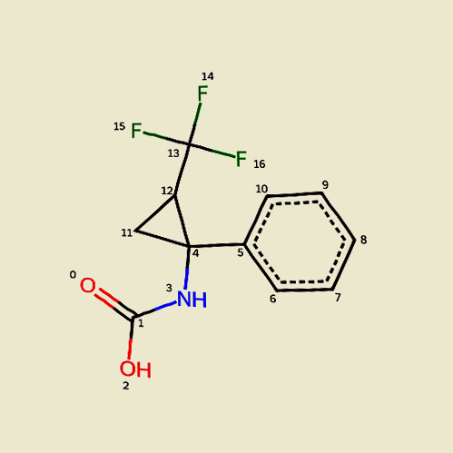 O=C(O)NC1(c2ccccc2)CC1C(F)(F)F